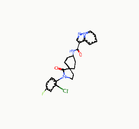 O=C(NC1CCC2(CC1)CCN(c1ccc(F)cc1Cl)C2=O)c1cnn2ccccc12